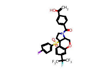 C=C(O)c1ccc(C(=O)N2CCC3(S(=O)(=O)c4ccc(I)cc4)c4ccc(C(F)(C(F)(F)F)C(F)(F)F)cc4OCC23)cc1